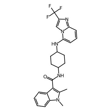 Cc1c(C(=O)NC2CCC(Nc3cccc4nc(C(F)(F)F)cn34)CC2)c2ccccc2n1C